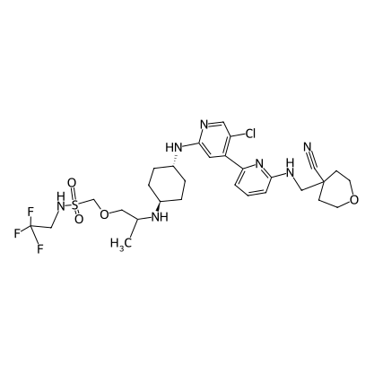 CC(COCS(=O)(=O)NCC(F)(F)F)N[C@H]1CC[C@H](Nc2cc(-c3cccc(NCC4(C#N)CCOCC4)n3)c(Cl)cn2)CC1